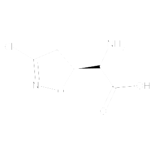 NC(C(=O)O)[C@@H]1CC(Cl)=NO1